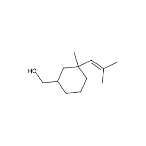 CC(C)=CC1(C)CCCC(CO)C1